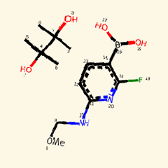 CC(C)(O)C(C)(C)O.COCNc1ccc(B(O)O)c(F)n1